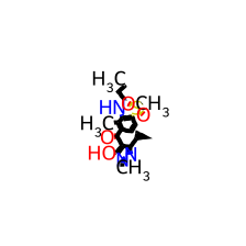 CCCCNc1c(S(C)(=O)=O)ccc(C(=O)c2c(C3CC3)nn(C)c2O)c1C